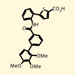 COc1ccc(-c2cccc(C(=O)Nc3ccccc3-c3ccc(C(=O)O)s3)c2)c(OC)c1OC